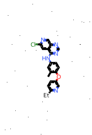 CCc1ccc(Oc2ccc(Nc3ncnc4cnc(Cl)cc34)cc2C)cn1